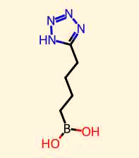 OB(O)CCCCc1nnn[nH]1